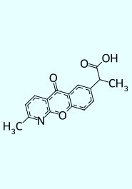 Cc1ccc2c(=O)c3cc(C(C)C(=O)O)ccc3oc2n1